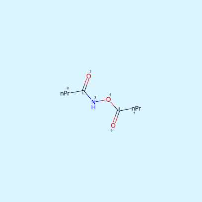 CCCC(=O)NOC(=O)CCC